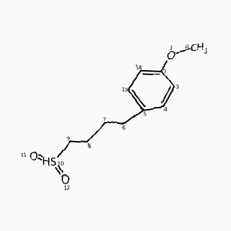 COc1ccc(CCCC[SH](=O)=O)cc1